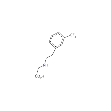 O=C(O)CNCCc1cccc(C(F)(F)F)c1